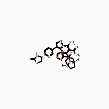 CC(=O)c1c(C2C[C@H]3CC[C@@H](C2)N3C(=O)c2nnc[nH]2)nc2c(-c3ccc([C@@H]4COC(=O)N4)nc3)cnn2c1N